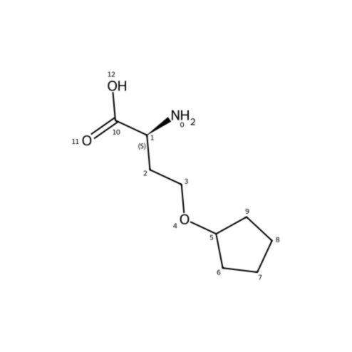 N[C@@H](CCOC1CCCC1)C(=O)O